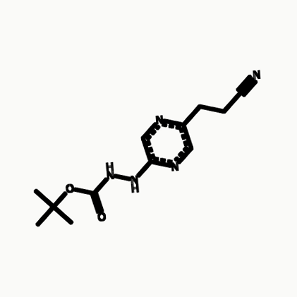 CC(C)(C)OC(=O)NNc1cnc(CCC#N)cn1